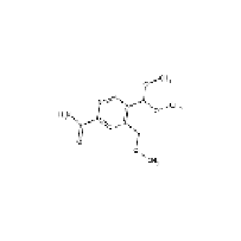 COCc1cc(C(N)=O)ncc1C(OC)OC